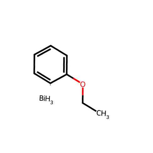 CCOc1[c]cccc1.[BiH3]